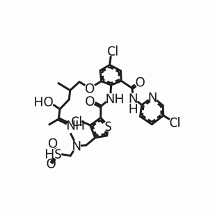 CC(=N)C(O)CC(C)COc1cc(Cl)cc(C(=O)Nc2ccc(Cl)cn2)c1NC(=O)c1scc(CN(C)C[SH](=O)=O)c1Cl